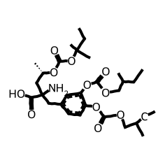 CCC(C)COC(=O)Oc1ccc(CC(N)(C[C@H](C)OC(=O)OC(C)(C)CC)C(=O)O)cc1OC(=O)OCC(C)CC